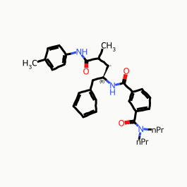 CCCN(CCC)C(=O)c1cccc(C(=O)N[C@H]([CH]C(C)C(=O)Nc2ccc(C)cc2)Cc2ccccc2)c1